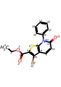 CCOC(=O)c1sc2c(ccc(=O)n2-c2ccccc2)c1Br